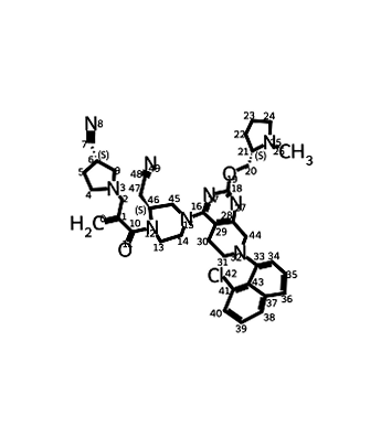 C=C(CN1CC[C@H](C#N)C1)C(=O)N1CCN(c2nc(OC[C@@H]3CCCN3C)nc3c2CCN(c2cccc4cccc(Cl)c24)C3)C[C@@H]1CC#N